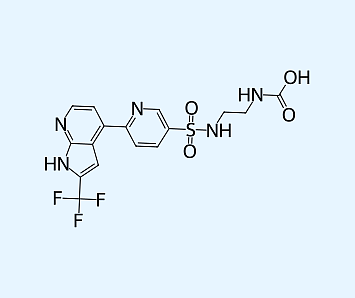 O=C(O)NCCNS(=O)(=O)c1ccc(-c2ccnc3[nH]c(C(F)(F)F)cc23)nc1